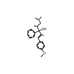 COc1ccc(/C=C(\C)C(O)(c2ccccc2)C(C)CN(C)C)cc1